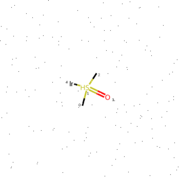 C[SH](C)(=O)[Ir]